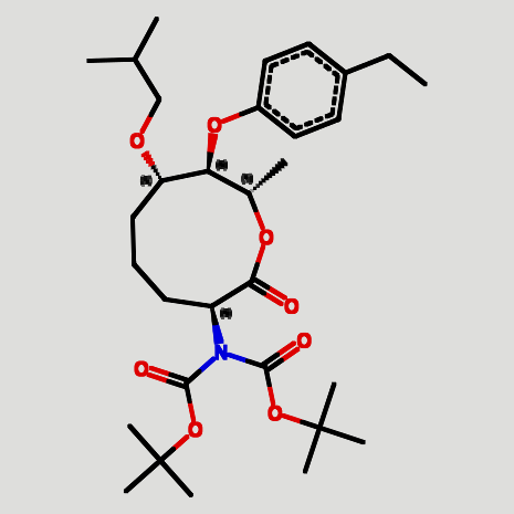 CCc1ccc(O[C@H]2[C@H](C)OC(=O)[C@@H](N(C(=O)OC(C)(C)C)C(=O)OC(C)(C)C)CCC[C@@H]2OCC(C)C)cc1